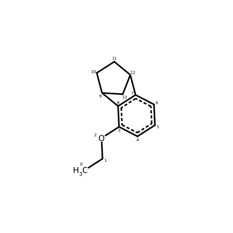 CCOc1cccc2c1C1CCC2C1